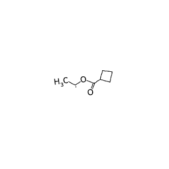 C[CH]OC(=O)C1CCC1